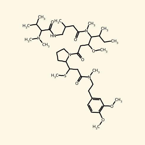 CCC(C)C(C(CC(=O)N1CCCC1C(CC(=O)N(C)CCc1ccc(OC)c(OC)c1)SC)OC)N(C)C(=O)CC(C)CNC(=O)C(C(C)C)N(C)C